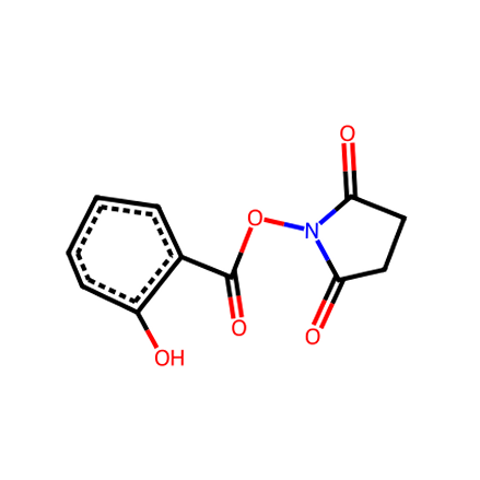 O=C(ON1C(=O)CCC1=O)c1ccccc1O